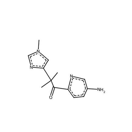 Cn1cnc(C(C)(C)C(=O)c2ccc(N)cn2)c1